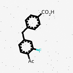 CC(=O)c1ccc(Cc2ccc(C(=O)O)cc2)cc1F